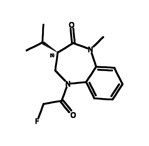 CC(C)[C@H]1CN(C(=O)CF)c2ccccc2N(C)C1=O